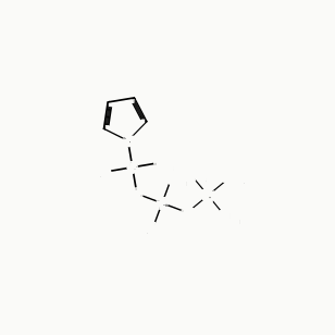 C[Si](C)(C)O[Si](C)(C)O[Si](C)(C)n1cccc1